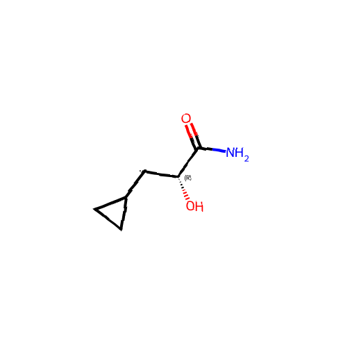 NC(=O)[C@H](O)[CH]C1CC1